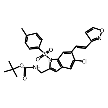 Cc1ccc(S(=O)(=O)n2c(CNC(=O)OC(C)(C)C)cc3cc(Cl)c(/C=C/c4ccon4)cc32)cc1